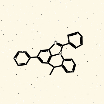 CC1c2ccccc2-n2c(-c3ccccc3)nc3cc(-c4ccccc4)cc1c32